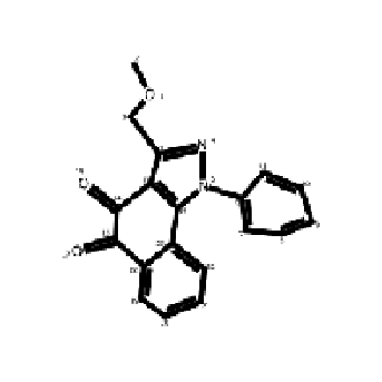 COCc1nn(-c2ccccc2)c2c1C(=O)C(=O)c1ccccc1-2